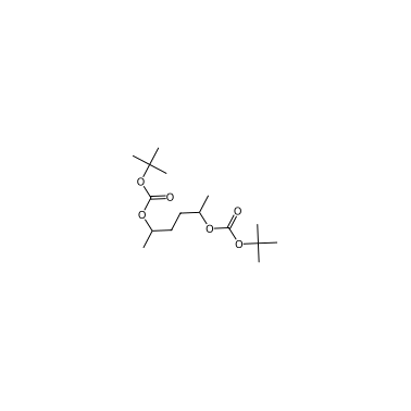 CC(CCC(C)OC(=O)OC(C)(C)C)OC(=O)OC(C)(C)C